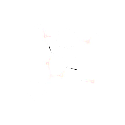 COc1ccc(OC)c2c1C[C@@]1(CC=O)C[C@@H]2OB(c2ccccc2)O1